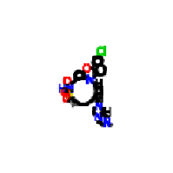 C[C@@H]1[C@@H](C)CCC[C@H](CN2CCN3CCN(C)C[C@@H]3C2)[C@@H]2CC[C@H]2CN2C[C@@]3(CCCc4cc(Cl)ccc43)COc3ccc(cc32)C(=O)NS1(=O)=O